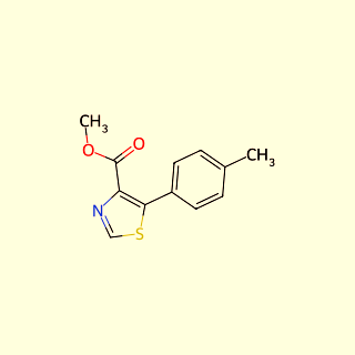 COC(=O)c1ncsc1-c1ccc(C)cc1